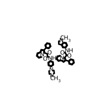 CN1CCN(c2ccc(NC(=O)C(=O)c3c(-c4ccccc4)cc4ccccn34)cc2)CC1.CN1CCc2cc(NC(=O)C(=O)c3c(-c4ccccc4)cc4ccccn34)ccc21